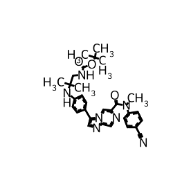 CN(C(=O)c1cn2c(-c3ccc(NC(C)(C)CNC(=O)OC(C)(C)C)cc3)cnc2cn1)c1ccc(C#N)cc1